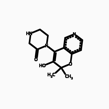 CC1(C)Oc2ccncc2C(N2CCNCC2=O)=C1O